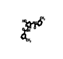 Cc1cccc(C(=O)Nc2cc(O)nc(NC(=O)c3cccc(C)c3)n2)c1